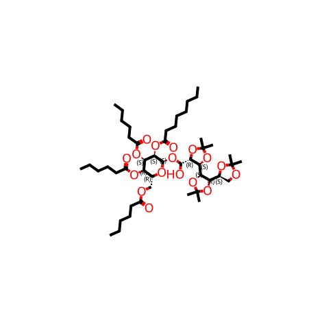 CCCCCCCC(=O)O[C@@H]1[C@H](OC(O)[C@@H]2OC(C)(C)O[C@H]2[C@H]2OC(C)(C)O[C@@H]2[C@@H]2COC(C)(C)O2)O[C@H](COC(=O)CCCCC)[C@@H](OC(=O)CCCCC)[C@@H]1OC(=O)CCCCC